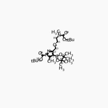 Cc1c(B2OC(C)(C)C(C)(C)O2)c(COCCN(C)C(=O)OC(C)(C)C)nn1C(=O)OC(C)(C)C